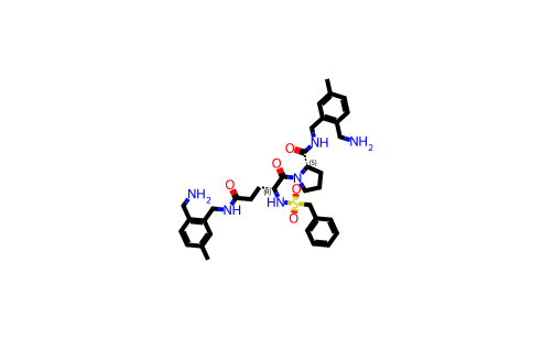 Cc1ccc(CN)c(CNC(=O)CC[C@@H](NS(=O)(=O)Cc2ccccc2)C(=O)N2CCC[C@H]2C(=O)NCc2cc(C)ccc2CN)c1